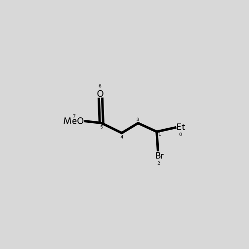 CCC(Br)CCC(=O)OC